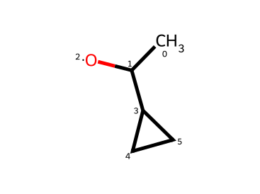 CC([O])C1CC1